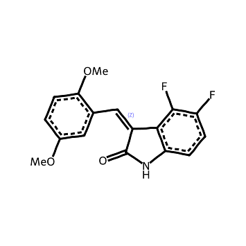 COc1ccc(OC)c(/C=C2\C(=O)Nc3ccc(F)c(F)c32)c1